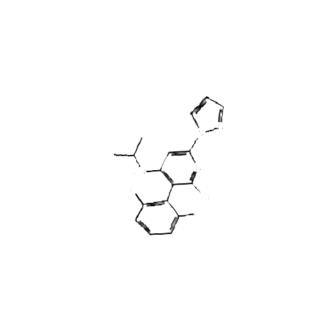 CC(C)Nc1cc(-n2cccn2)nc(Cl)c1-c1c(F)cccc1Cl